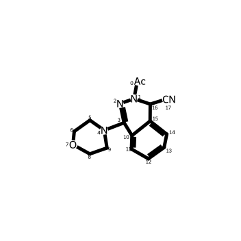 CC(=O)N1N=C(N2CCOCC2)c2ccccc2C1C#N